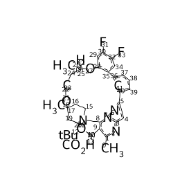 Cc1nc2cc3nn2c(c1[C@H](OC(C)(C)C)C(=O)O)N1CCC(C)(CC1)OCCC[C@H](C)Oc1cc(F)c(F)cc1-c1cccc-3c1